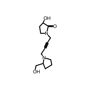 O=C1C(O)CCN1CC#CCN1CCCC1CO